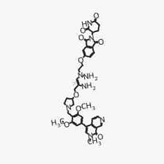 COc1cc(-c2cn(C)c(=O)c3cnccc23)cc(OC)c1CN1CCC(OC/C(N)=C/N(N)CCOc2ccc3c(c2)C(=O)N(C2CCC(=O)NC2=O)C3=O)C1